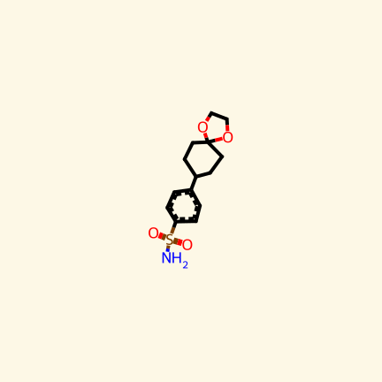 NS(=O)(=O)c1ccc(C2CCC3(CC2)OCCO3)cc1